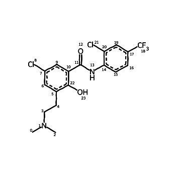 CN(C)CCc1cc(Cl)cc(C(=O)Nc2ccc(C(F)(F)F)cc2Cl)c1O